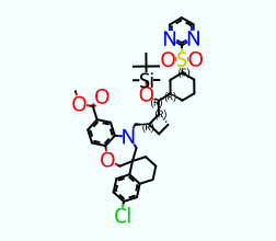 COC(=O)c1ccc2c(c1)N(C[C@@H]1CC[C@H]1[C@H](O[Si](C)(C)C(C)(C)C)[C@@H]1CCC[C@H](S(=O)(=O)c3ncccn3)C1)CC1(CCCc3cc(Cl)ccc31)CO2